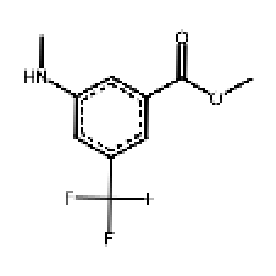 CNc1cc(C(=O)OC)cc(C(F)(F)F)c1